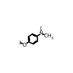 CN(I)c1ccc(OI)cc1